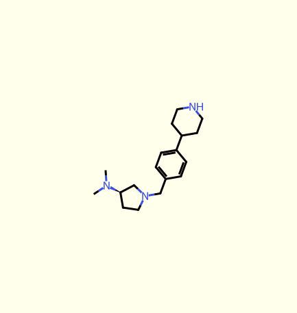 CN(C)[C@@H]1CCN(Cc2ccc(C3CCNCC3)cc2)C1